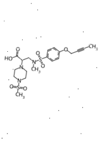 CC#CCOc1ccc(S(=O)(=O)N(C)CC(C(=O)O)N2CCN(S(C)(=O)=O)CC2)cc1